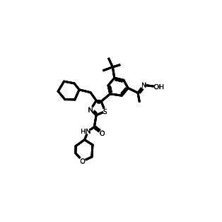 CC(=NO)c1cc(-c2sc(C(=O)NC3CCOCC3)nc2CC2CCCCC2)cc(C(C)(C)C)c1